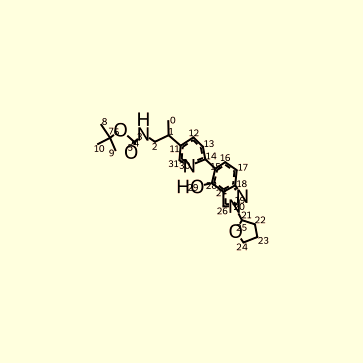 CC(CNC(=O)OC(C)(C)C)c1ccc(-c2ccc3nn(C4CCCO4)cc3c2O)nc1